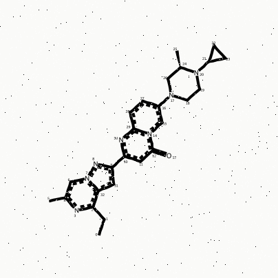 CCc1nc(C)cn2nc(-c3cc(=O)n4cc(N5CCN(C6CC6)[C@H](C)C5)ccc4n3)cc12